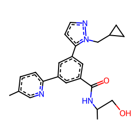 Cc1ccc(-c2cc(C(=O)NC(C)CO)cc(-c3ccnn3CC3CC3)c2)nc1